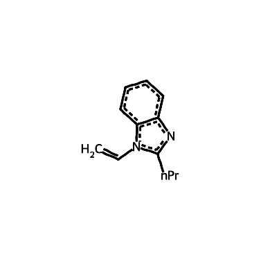 C=Cn1c(CCC)nc2ccccc21